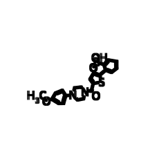 COc1ccc(N2CCN(C(=O)c3cc4c(s3)-c3ccccc3B(O)O4)CC2)cc1